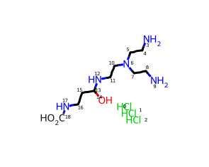 Cl.Cl.Cl.NCCN(CCN)CCNC(O)CCNC(=O)O